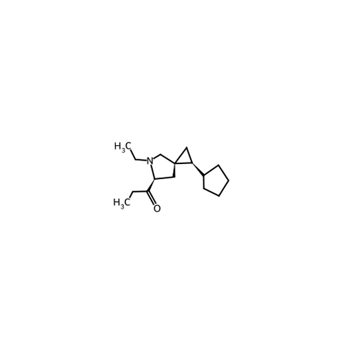 CCC(=O)[C@@H]1C[C@]2(C[C@H]2C2CCCC2)CN1CC